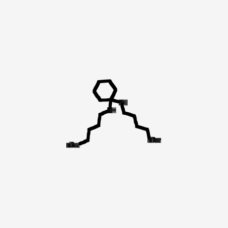 CCCCCCCCCCCCCCNC1(NCCCCCCCCCCCCCC)CCCCC1